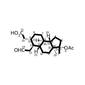 CC(=O)O[C@@]1(C)CC[C@H]2[C@@H]3CC[C@@H](CC(=O)O)[C@H](CC=O)[C@H]3CC[C@@]21C